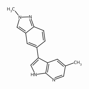 Cc1cnc2[nH]cc(-c3ccc4nn(C)cc4c3)c2c1